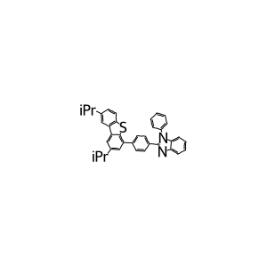 CC(C)c1ccc2sc3c(-c4ccc(-c5nc6ccccc6n5-c5ccccc5)cc4)cc(C(C)C)cc3c2c1